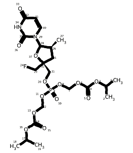 CC(C)OC(=O)OCOP(=O)(OCOC(=O)OC(C)C)OC[C@]1(CF)C[C@H](C)C(n2ccc(=O)[nH]c2=O)O1